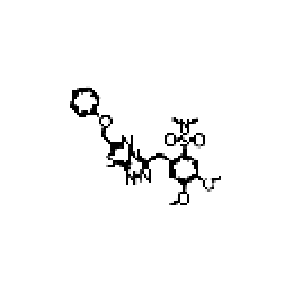 COc1cc(Cc2nnc3sc(COc4ccccc4)nn23)c(S(=O)(=O)N(C)C)cc1OC